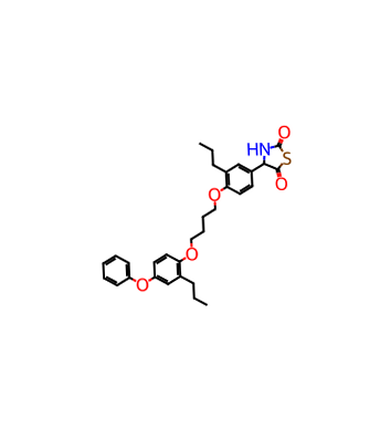 CCCc1cc(Oc2ccccc2)ccc1OCCCCOc1ccc(C2NC(=O)SC2=O)cc1CCC